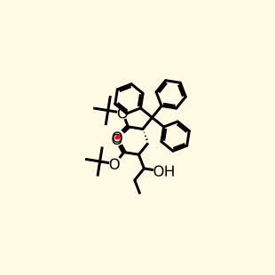 CCC(O)C(C[C@H](C(=O)OC(C)(C)C)C(c1ccccc1)(c1ccccc1)c1ccccc1)C(=O)OC(C)(C)C